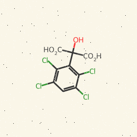 O=C(O)C(O)(C(=O)O)c1c(Cl)c(Cl)cc(Cl)c1Cl